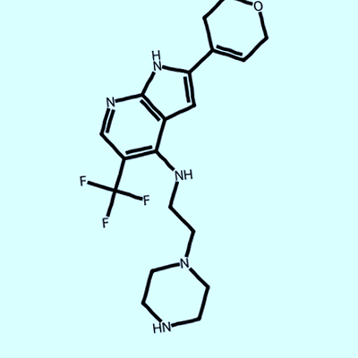 FC(F)(F)c1cnc2[nH]c(C3=CCOCC3)cc2c1NCCN1CCNCC1